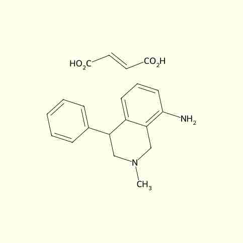 CN1Cc2c(N)cccc2C(c2ccccc2)C1.O=C(O)C=CC(=O)O